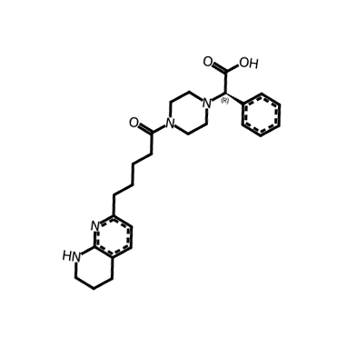 O=C(O)[C@@H](c1ccccc1)N1CCN(C(=O)CCCCc2ccc3c(n2)NCCC3)CC1